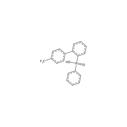 O=P(O)(c1ccccc1)c1ccccc1-c1ccc(C(F)(F)F)cc1